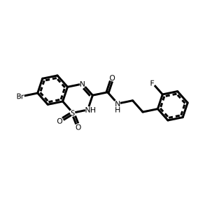 O=C(NCCc1ccccc1F)C1=Nc2ccc(Br)cc2S(=O)(=O)N1